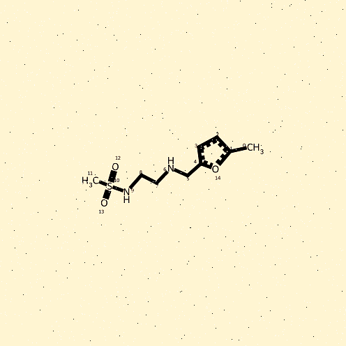 Cc1ccc(CNCCNS(C)(=O)=O)o1